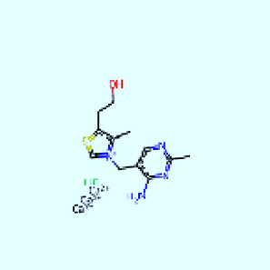 Cc1ncc(C[n+]2csc(CCO)c2C)c(N)n1.Cl.[Ca+2].[Ca+2].[Ca+2]